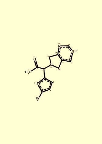 CC(=O)C(c1ccc(Br)s1)N1Cc2cncnc2C1